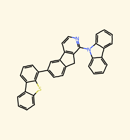 c1ccc2c(c1)sc1c(-c3ccc4c(c3)-c3ccnc(-n5c6ccccc6c6ccccc65)c3C4)cccc12